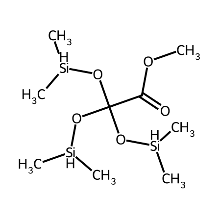 COC(=O)C(O[SiH](C)C)(O[SiH](C)C)O[SiH](C)C